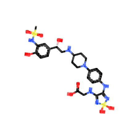 CS(=O)(=O)Nc1cc([C@H](O)CNC2CCN(c3ccc(NC4=NS(O)(O)N=C4NCC(=O)O)cc3)CC2)ccc1O